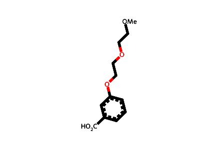 COCCOCCOc1cccc(C(=O)O)c1